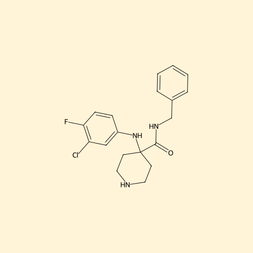 O=C(NCc1ccccc1)C1(Nc2ccc(F)c(Cl)c2)CCNCC1